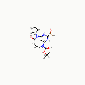 C[S+]([O-])C1=NC2CC(=N1)N(C1CCCC1)C(=O)CCCN2C(=O)OC(C)(C)C